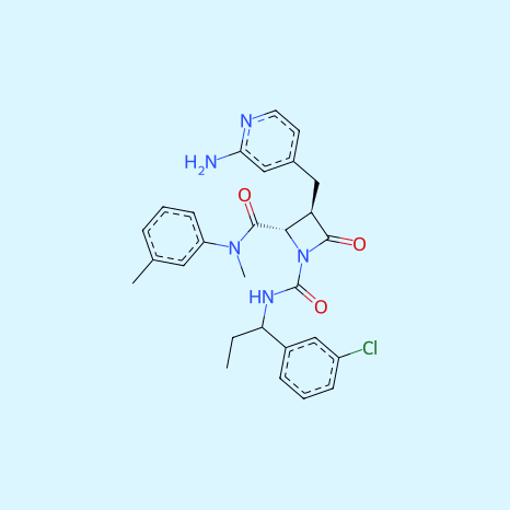 CCC(NC(=O)N1C(=O)[C@H](Cc2ccnc(N)c2)[C@H]1C(=O)N(C)c1cccc(C)c1)c1cccc(Cl)c1